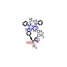 CCN(c1ccccc1)c1nc2ccc(C#C[C@@](C)(O)c3cc(C)on3)cc2n1-c1nc(C)nc(Nc2ccccc2)n1